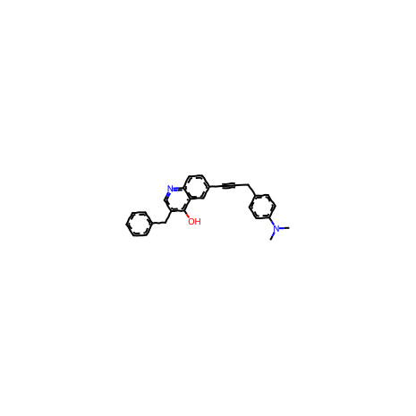 CN(C)c1ccc(CC#Cc2ccc3ncc(Cc4ccccc4)c(O)c3c2)cc1